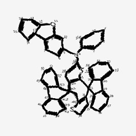 c1ccc(N(c2ccc3c(c2)oc2ccccc23)c2cc3c(s2)C2(c4ccccc4-c4ccccc42)c2ccsc2C32c3ccccc3-c3ccccc32)cc1